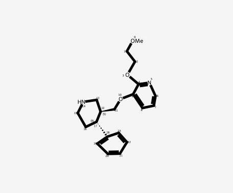 COCCOc1ncccc1OC[C@@H]1CNCC[C@H]1c1ccccc1